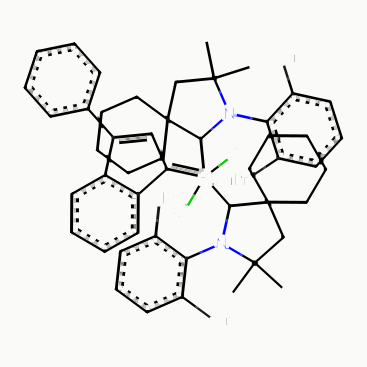 CC(C)c1cccc(C(C)C)c1N1[CH]([Ru]([Cl])([Cl])(=[C]2C=C(c3ccccc3)c3ccccc32)[CH]2N(c3c(C(C)C)cccc3C(C)C)C(C)(C)CC23CCCCC3)C2(CCCCC2)CC1(C)C